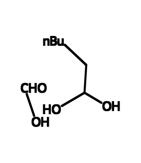 CCCCCC(O)O.O=CO